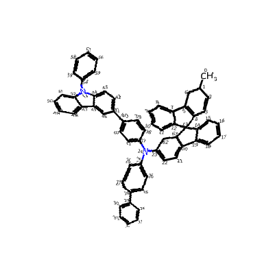 CC1C=CC2=C(C1)c1ccccc1C21c2ccccc2C2=CC=C(N(c3ccc(-c4ccccc4)cc3)c3ccc(-c4ccc5c(c4)c4ccccc4n5-c4ccccc4)cc3)CC21